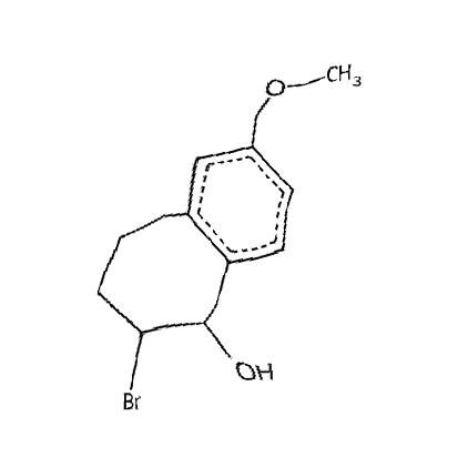 COc1ccc2c(c1)CCC(Br)C2O